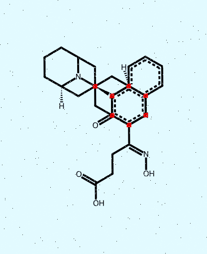 O=C(O)CCC(=NO)c1nc2ccccc2n([C@@H]2CC3CCC[C@H](C2)N3C2CC3CCC[C@@H](C3)C2)c1=O